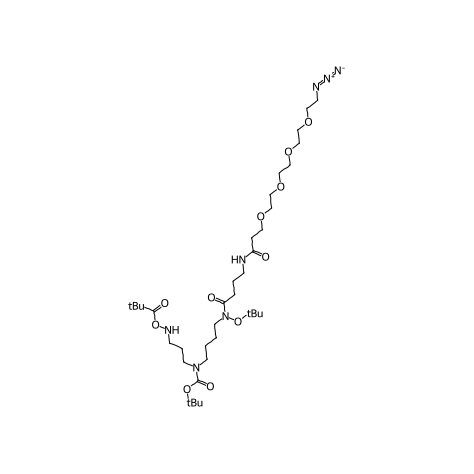 CC(C)(C)OC(=O)N(CCCCN(OC(C)(C)C)C(=O)CCCNC(=O)CCOCCOCCOCCOCCN=[N+]=[N-])CCCNOC(=O)C(C)(C)C